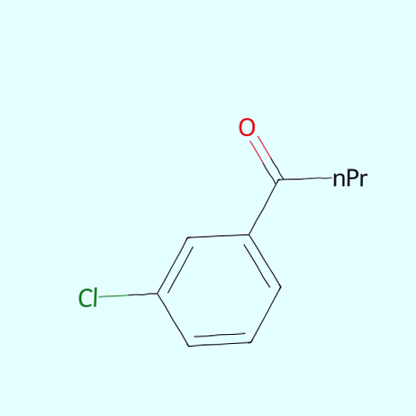 CCCC(=O)c1cccc(Cl)c1